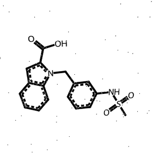 CS(=O)(=O)Nc1cccc(Cn2c(C(=O)O)cc3ccccc32)c1